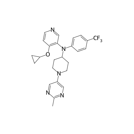 Cc1ncc(N2CCC(N(c3ccc(C(F)(F)F)cc3)c3cnccc3OC3CC3)CC2)cn1